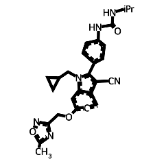 Cc1nc(COc2ccc3c(C#N)c(-c4ccc(NC(=O)NC(C)C)cc4)n(CC4CC4)c3c2)no1